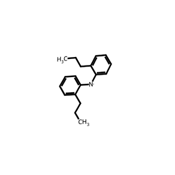 CCCc1ccccc1[N]c1ccccc1CCC